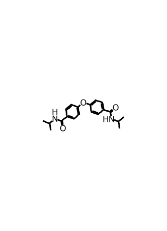 CC(C)NC(=O)c1ccc(Oc2ccc(C(=O)NC(C)C)cc2)cc1